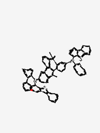 Cc1c2c3c(cccc3c3cc(N(c4ccccc4-c4ccccc4)c4cccc5c4sc4ccccc45)ccc13)C(C)(C)c1cc(N(c3ccccc3)c3cccc4c3sc3ccccc34)ccc1-2